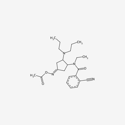 CCCN(CCC)C1CC(=NOC(C)=O)CC1N(CC)C(=O)c1ccccc1C#N